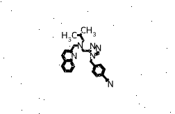 CC(C)CN(Cc1ccc2ccccc2n1)Cc1nncn1Cc1ccc(C#N)cc1